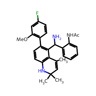 COc1cc(F)ccc1-c1ccc2c(c1C(N)c1ccccc1NC(C)=O)C(C)=CC(C)(C)N2